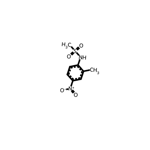 Cc1cc([N+](=O)[O-])ccc1NS(C)(=O)=O